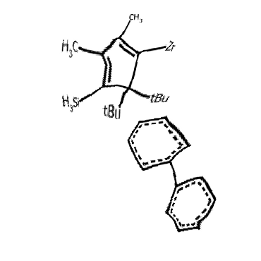 CC1=C([SiH3])C(C(C)(C)C)(C(C)(C)C)[C]([Zr])=C1C.c1ccc(-c2ccccc2)cc1